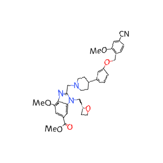 COC(=O)c1cc(OC)c2nc(CN3CCC(c4cccc(OCc5ccc(C#N)cc5OC)c4)CC3)n(C[C@@H]3CCO3)c2c1